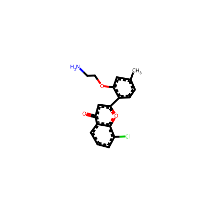 Cc1ccc(-c2cc(=O)c3cccc(Cl)c3o2)c(OCCN)c1